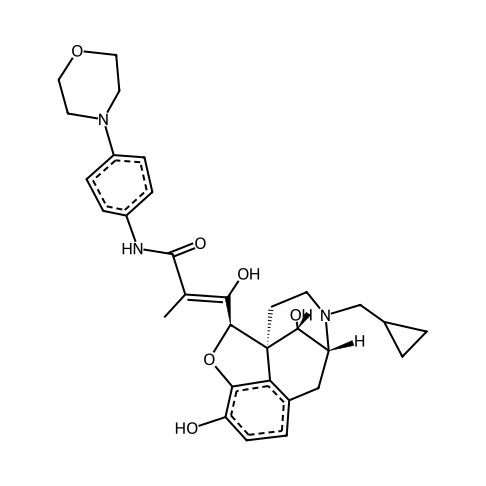 C/C(C(=O)Nc1ccc(N2CCOCC2)cc1)=C(/O)[C@@H]1Oc2c(O)ccc3c2[C@@]12CCN(CC1CC1)[C@H](C3)[C@@]2(C)O